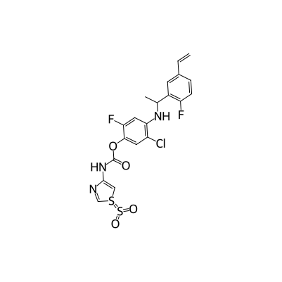 C=Cc1ccc(F)c(C(C)Nc2cc(F)c(OC(=O)NC3=CS(=S(=O)=O)C=N3)cc2Cl)c1